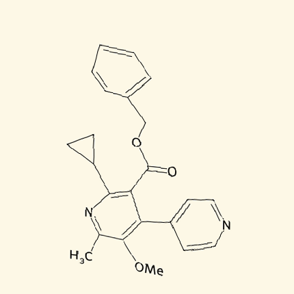 COc1c(C)nc(C2CC2)c(C(=O)OCc2ccccc2)c1-c1ccncc1